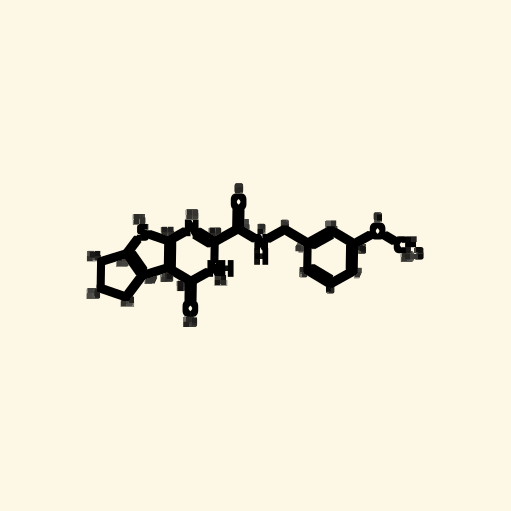 O=C(NCc1cccc(OC(F)(F)F)c1)c1nc2sc3c(c2c(=O)[nH]1)CCC3